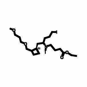 CCOC(=O)CCCN(I)C(CCCI)C[C@H]1CCC1COCCCOC